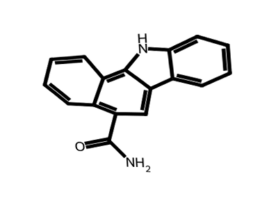 NC(=O)c1cc2c3ccccc3[nH]c2c2ccccc12